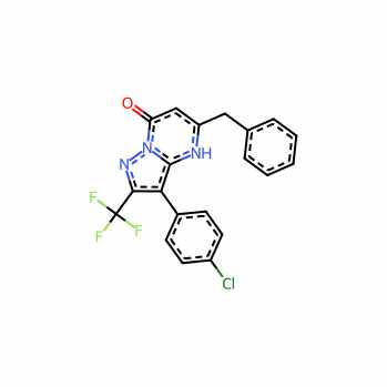 O=c1cc(Cc2ccccc2)[nH]c2c(-c3ccc(Cl)cc3)c(C(F)(F)F)nn12